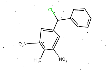 Cc1c([N+](=O)[O-])cc(C(Cl)c2ccccc2)cc1[N+](=O)[O-]